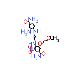 COCCCOc1cc(C(N)=O)cc([N+](=O)[O-])c1NC/C=C/CNc1ccc(C(N)=O)cc1N